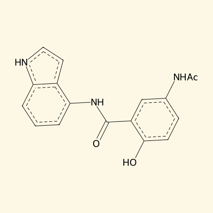 CC(=O)Nc1ccc(O)c(C(=O)Nc2cccc3[nH]ccc23)c1